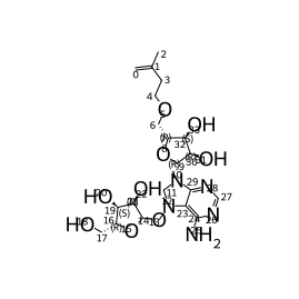 C=C(C)CCOC[C@H]1O[C@@H](N2CN(OC3O[C@H](CO)[C@@H](O)[C@H]3O)c3c(N)ncnc32)[C@H](O)[C@@H]1O